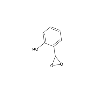 Oc1ccccc1C1OO1